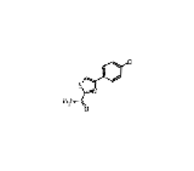 NC(=O)c1nc(-c2ccc(Cl)cc2)cs1